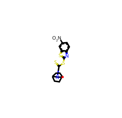 O=[N+]([O-])c1ccc2nc(SC(=S)N3CC4CCC(CC4)C3)sc2c1